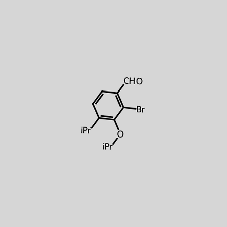 CC(C)Oc1c(C(C)C)ccc(C=O)c1Br